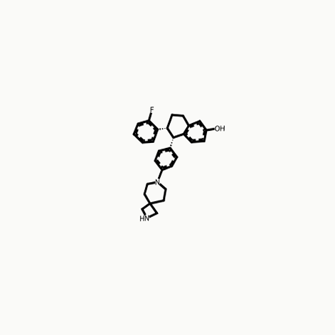 Oc1ccc2c(c1)CC[C@@H](c1ccccc1F)[C@H]2c1ccc(N2CCC3(CC2)CNC3)cc1